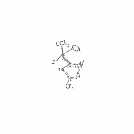 FC(F)(F)n1nnc(C(Cl)(Cl)C(Cl)(Cl)Cl)n1